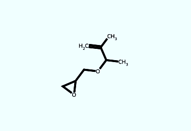 C=C(C)C(C)OCC1CO1